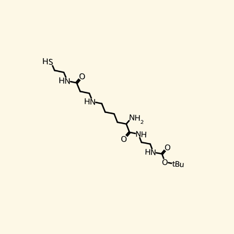 CC(C)(C)OC(=O)NCCNC(=O)C(N)CCCCNCCC(=O)NCCS